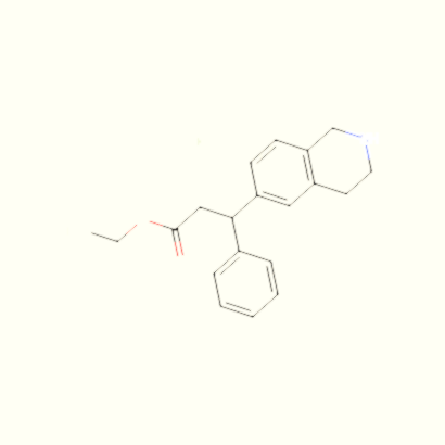 CCOC(=O)CC(c1ccccc1)c1ccc2c(c1)CCNC2.Cl